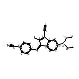 C#CC1=C(C)C(=Cc2ccc(C#N)cc2)c2ccc(N(CC)CC)cc21